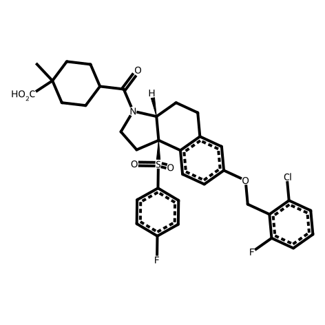 CC1(C(=O)O)CCC(C(=O)N2CC[C@@]3(S(=O)(=O)c4ccc(F)cc4)c4ccc(OCc5c(F)cccc5Cl)cc4CC[C@@H]23)CC1